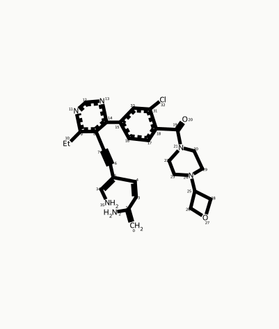 C=C(N)/C=C\C(C#Cc1c(CC)ncnc1-c1ccc(C(=O)N2CCN(C3COC3)CC2)c(Cl)c1)=C/N